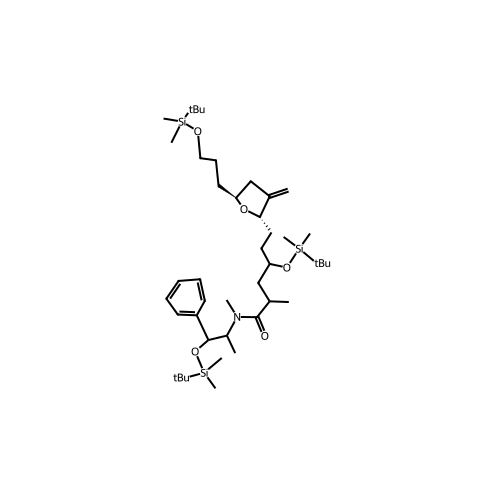 C=C1C[C@H](CCCO[Si](C)(C)C(C)(C)C)O[C@H]1CCC(CC(C)C(=O)N(C)C(C)C(O[Si](C)(C)C(C)(C)C)c1ccccc1)O[Si](C)(C)C(C)(C)C